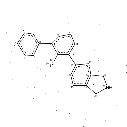 Cc1c(-c2ccccc2)cccc1-c1ccc2c(c1)CNC2